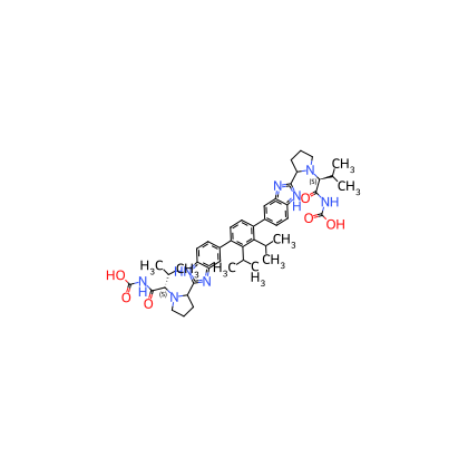 CC(C)c1c(-c2ccc3[nH]c(C4CCCN4[C@H](C(=O)NC(=O)O)C(C)C)nc3c2)ccc(-c2ccc3[nH]c(C4CCCN4[C@H](C(=O)NC(=O)O)C(C)C)nc3c2)c1C(C)C